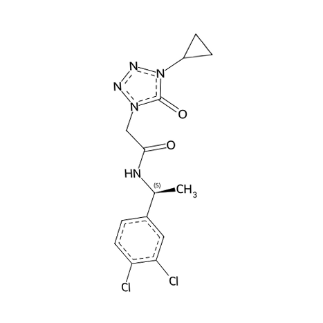 C[C@H](NC(=O)Cn1nnn(C2CC2)c1=O)c1ccc(Cl)c(Cl)c1